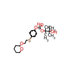 CC(C)(O)C(C)(C)OB(O)Oc1ccc(SCCOC2CCCCO2)cc1